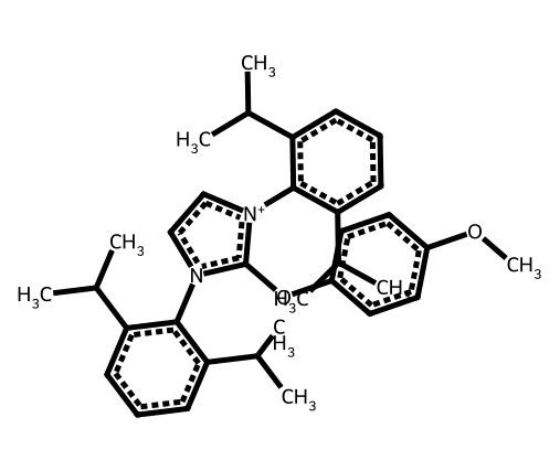 COc1ccc(Oc2n(-c3c(C(C)C)cccc3C(C)C)cc[n+]2-c2c(C(C)C)cccc2C(C)C)cc1